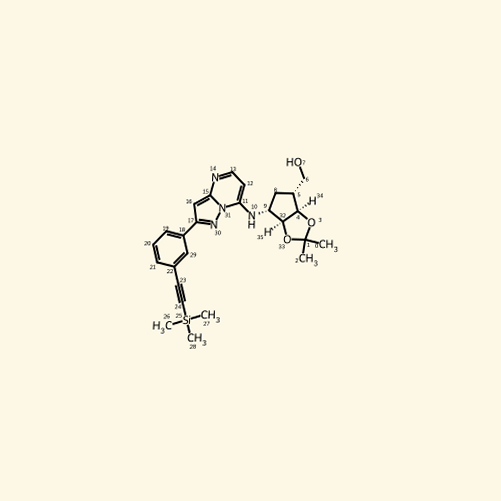 CC1(C)O[C@@H]2[C@@H](CO)C[C@@H](Nc3ccnc4cc(-c5cccc(C#C[Si](C)(C)C)c5)nn34)[C@@H]2O1